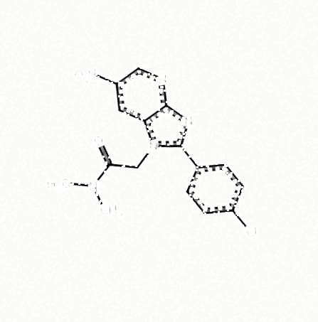 CN(C)C(=O)Cn1c(-c2ccc(Cl)cc2)nc2ncc([N+](=O)[O-])cc21